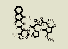 COC1CC(=O)N([C@@H](C)C(=O)N[C@@H](C)C(=O)N2CCC[C@H]2C(=O)N[C@H](C(=O)Nc2c(C)c3ccccc3oc2=O)C(C)C)C1=O